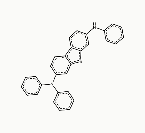 c1ccc(Nc2ccc3c(c2)sc2cc(N(c4ccccc4)c4ccccc4)ccc23)cc1